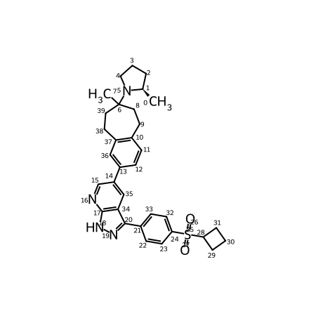 C[C@@H]1CCCN1C1(C)CCc2ccc(-c3cnc4[nH]nc(-c5ccc(S(=O)(=O)C6CCC6)cc5)c4c3)cc2CC1